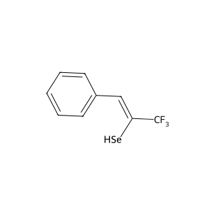 FC(F)(F)C([SeH])=Cc1ccccc1